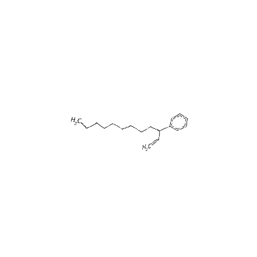 C=CC(CCCCCCCCC)c1ccccc1